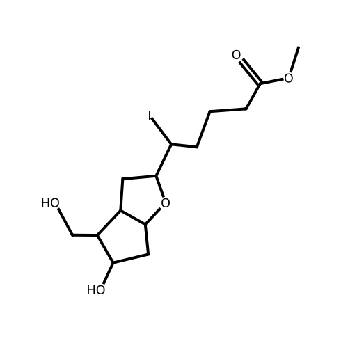 COC(=O)CCCC(I)C1CC2C(CC(O)C2CO)O1